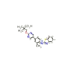 Cc1cc(-c2cnc(OCC(C)(C)C(=O)O)nc2)ccc1Nc1nc2ccccc2s1